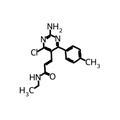 CCNC(=O)/C=C/c1c(Cl)nc(N)nc1-c1ccc(C)cc1